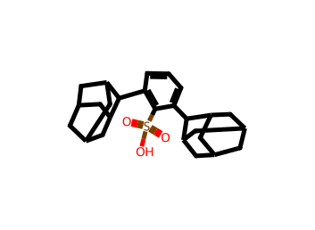 O=S(=O)(O)c1c(C2C3CC4CC(C3)CC2C4)cccc1C1C2CC3CC(C2)CC1C3